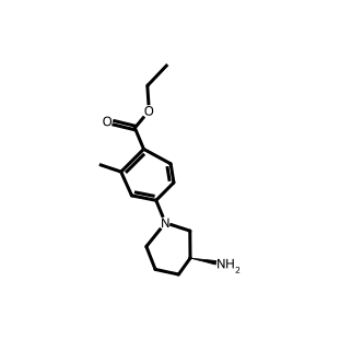 CCOC(=O)c1ccc(N2CCC[C@H](N)C2)cc1C